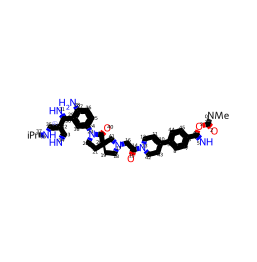 CNC(=O)OC(=N)c1ccc(C2=CCN(C(=O)CN3CC[C@]4(CCN(c5ccc(N)c(C(=N)/C(C=N)=C/NC(C)C)c5)C4=O)C3)CC2)cc1